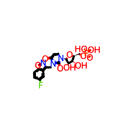 O=c1ccn([C@@H]2O[C@H](COP(=O)(O)O)[C@H](O)[C@@H]2O)c(=O)n1Cc1noc2ccc(F)cc12